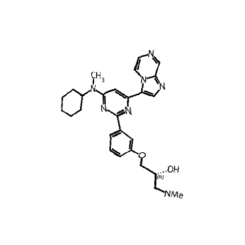 CNC[C@@H](O)COc1cccc(-c2nc(-c3cnc4cnccn34)cc(N(C)C3CCCCC3)n2)c1